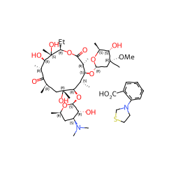 CC[C@H]1OC(=O)[C@H](C)[C@@H](O[C@H]2C[C@@](C)(OC)[C@@H](O)[C@H](C)O2)[C@H](C)[C@@H](O[C@@H]2O[C@H](C)C[C@H](N(C)C)[C@H]2O)[C@](C)(O)C[C@@H](C)C(=O)[C@H](C)[C@@H](O)[C@]1(C)O.O=C(O)c1ccccc1N1CCSC1